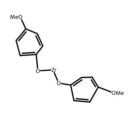 COc1ccc([O][Zr][O]c2ccc(OC)cc2)cc1